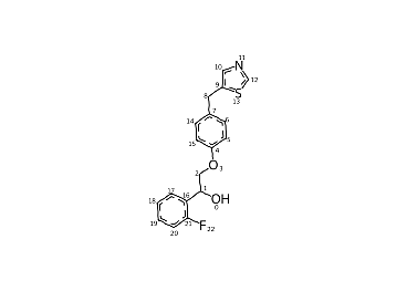 OC(COc1ccc(Cc2cncs2)cc1)c1ccccc1F